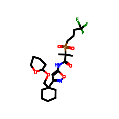 CC(C)(C(=O)Nc1cc(C2(COC3CCCCO3)CCCCC2)no1)S(=O)(=O)CCCC(F)(F)F